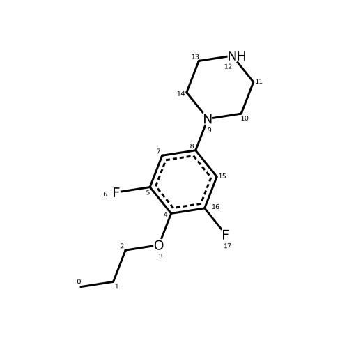 CCCOc1c(F)cc(N2CCNCC2)cc1F